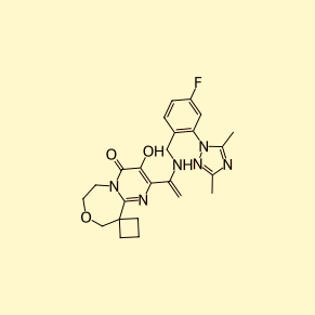 C=C(NCc1ccc(F)cc1-n1nc(C)nc1C)c1nc2n(c(=O)c1O)CCOCC21CCC1